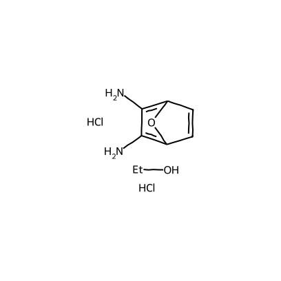 CCO.Cl.Cl.Nc1c(N)c2ccc1o2